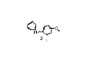 B.COc1ccc(Pc2ccccc2)cc1